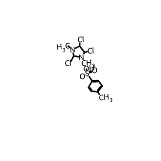 CN1C(Cl)C(Cl)N(C)C1Cl.Cc1ccc(S(=O)(=O)O)cc1